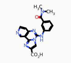 CN(C)C(=O)c1cccc(Nc2nc3ccncc3c3nc(C(=O)O)cn23)c1